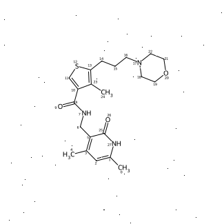 Cc1cc(C)c(CNC(=O)c2csc(CCCN3CCOCC3)c2C)c(=O)[nH]1